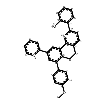 COc1ccc(-c2cc(-c3ccccn3)cc3c2CCc2ccc(-c4ccccc4O)nc2-3)cc1